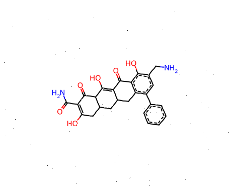 NCc1cc(-c2ccccc2)c2c(c1O)C(=O)C1=C(O)C3C(=O)C(C(N)=O)=C(O)CC3CC1C2